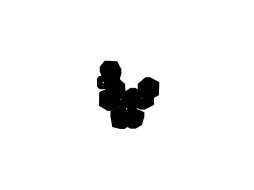 c1ccc2c(N(c3ccc4c(ccc5ccccc54)c3)c3cccc4c3ccc3c5ccccc5oc43)cccc2c1